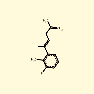 C=C(C)C/C=C(\CC)c1cccc(F)c1C